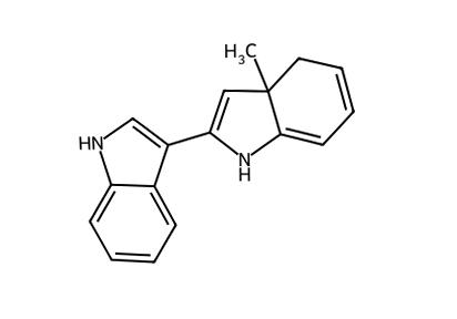 CC12C=C(c3c[nH]c4ccccc34)NC1=CC=CC2